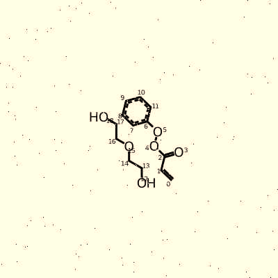 C=CC(=O)OOc1ccccc1.OCCOCCO